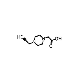 C#CCN1CCN(CC(=O)O)CC1